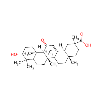 CC1(C(=O)O)CC[C@]2(C)CC[C@]3(C)C(=CC(=O)[C@@H]4[C@@]5(C)CCC(O)C(C)(C)C5CC[C@]43C)[C@H]2C1